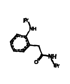 CC(C)NC(=O)Cc1ccccc1NC(C)C